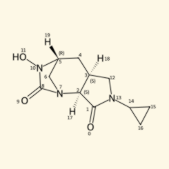 O=C1[C@@H]2[C@@H](C[C@@H]3CN2C(=O)N3O)CN1C1CC1